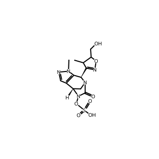 CC1C([C@@H]2c3c(cnn3C)[C@@H]3CN2C(=O)N3OS(=O)(=O)O)=NOC1CO